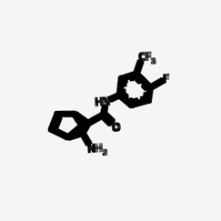 NC1C2C=CC(C2)C1C(=O)Nc1ccc(F)c(C(F)(F)F)c1